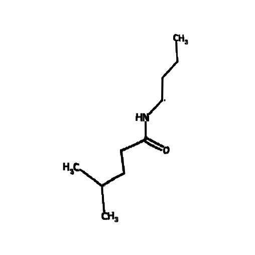 CCC[CH]NC(=O)CCC(C)C